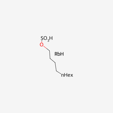 CCCCCCCCCCOS(=O)(=O)O.[RbH]